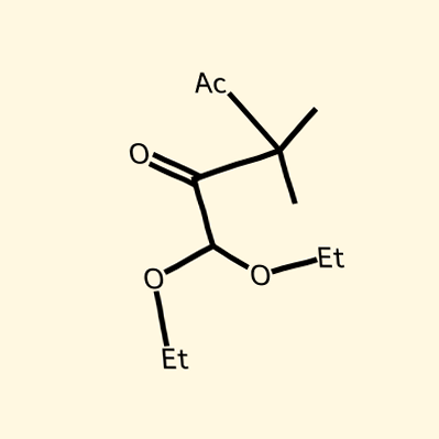 CCOC(OCC)C(=O)C(C)(C)C(C)=O